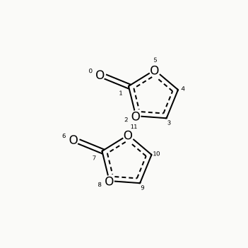 O=c1occo1.O=c1occo1